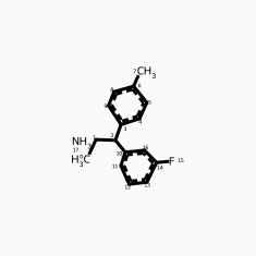 CCC(c1ccc(C)cc1)c1cccc(F)c1.N